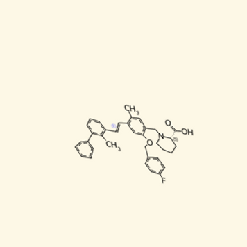 Cc1cc(CN2CCCC[C@H]2C(=O)O)c(OCc2ccc(F)cc2)cc1/C=C/c1cccc(-c2ccccc2)c1C